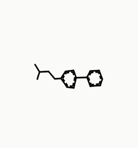 CC(C)CCc1ccc(-c2ccccc2)cc1